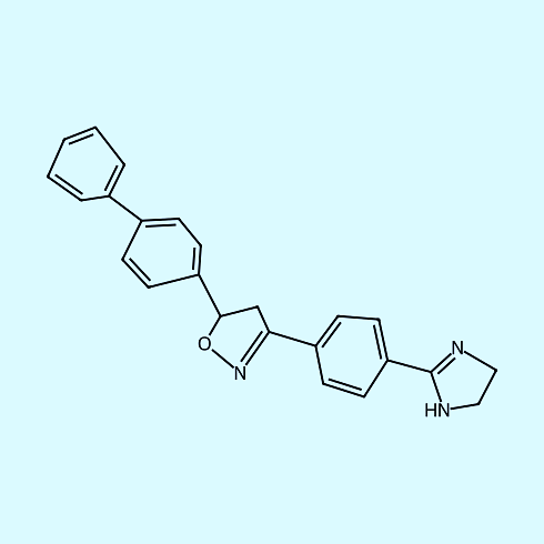 c1ccc(-c2ccc(C3CC(c4ccc(C5=NCCN5)cc4)=NO3)cc2)cc1